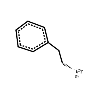 [CH2][C@@H](C)CCc1ccccc1